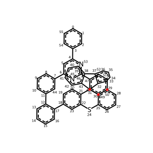 c1ccc(-c2cc(-c3cccc(-c4ccccc4-c4ccc5c(c4)Sc4ccccc4C54c5ccccc5-c5ccccc54)c3)nc(-c3ccccc3)n2)cc1